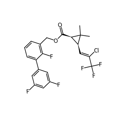 CC1(C)[C@H](C(=O)OCc2cccc(-c3cc(F)cc(F)c3)c2F)[C@@H]1/C=C(\Cl)C(F)(F)F